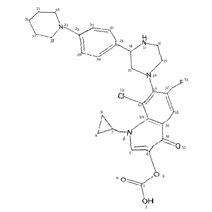 O=C(O)Oc1cn(C2CC2)c2c(Cl)c(N3CCNC(c4ccc(N5CCCCC5)cc4)C3)c(F)cc2c1=O